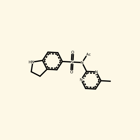 CC(=O)N(c1nccc(C)n1)S(=O)(=O)c1ccc2c(c1)CCN2